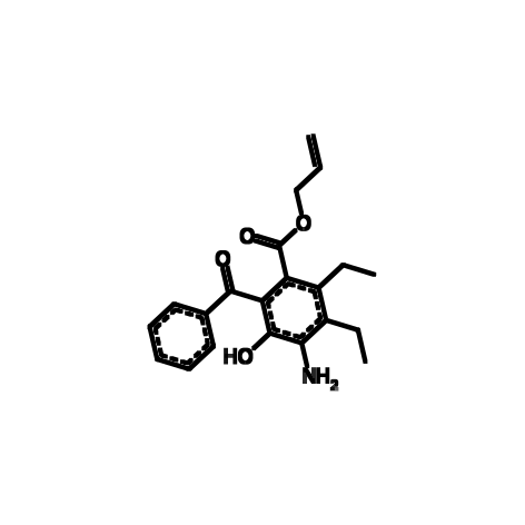 C=CCOC(=O)c1c(CC)c(CC)c(N)c(O)c1C(=O)c1ccccc1